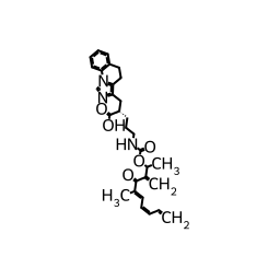 C=C/C=C\C=C(/C)C(=O)C(=C)C(C)OC(=O)NCCC[C@@H](Cc1ncn2c1CCc1ccccc1-2)C(=O)O